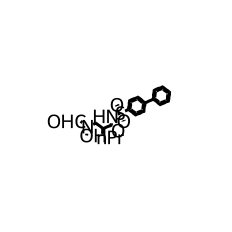 CCCC(CN(O)C=O)C(=O)NS(=O)(=O)c1ccc(-c2ccccc2)cc1